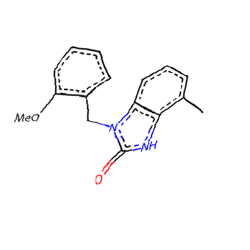 COc1ccccc1Cn1c(=O)[nH]c2c(C)cccc21